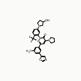 Cc1cc(-c2cc(N3CCCC3)c(=O)n(-c3cc(N4CCC(O)C4)ccc3C(F)(F)F)n2)cc(-c2cnco2)c1